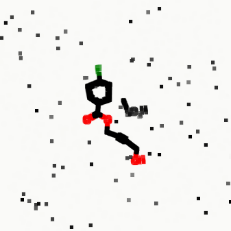 CS(=O)(=O)O.O=C(OCC#CCO)c1ccc(F)cc1